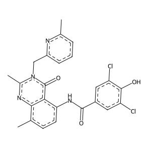 Cc1cccc(Cn2c(C)nc3c(C)ccc(NC(=O)c4cc(Cl)c(O)c(Cl)c4)c3c2=O)n1